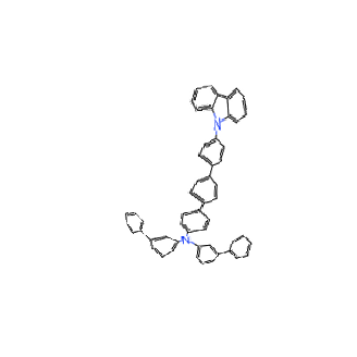 c1ccc(-c2cccc(N(c3ccc(-c4ccc(-c5ccc(-n6c7ccccc7c7ccccc76)cc5)cc4)cc3)c3cccc(-c4ccccc4)c3)c2)cc1